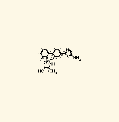 C[C@H](CO)NS(=O)(=O)c1c(F)cccc1-c1ccc(-c2nnc(N)s2)cc1